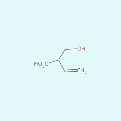 C=CC(CO)C(=O)O